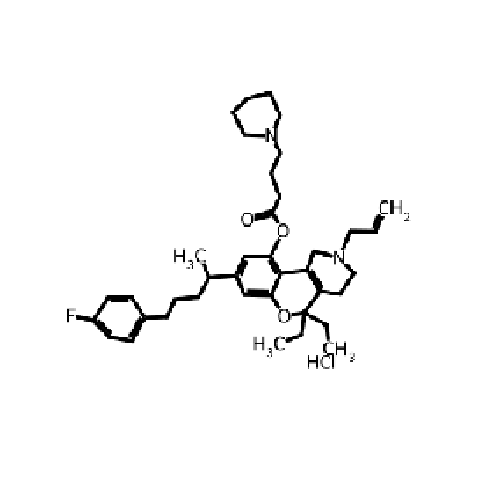 C=CCN1CCC2=C(C1)c1c(OC(=O)CCCN3CCCCC3)cc(C(C)CCCc3ccc(F)cc3)cc1OC2(CC)CC.Cl